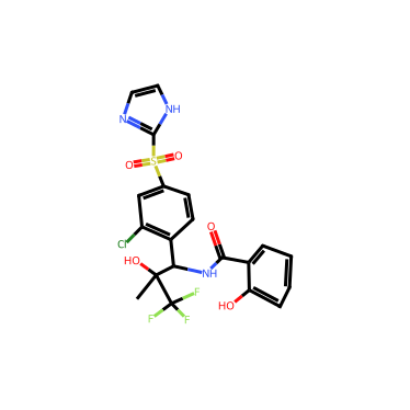 CC(O)(C(NC(=O)c1ccccc1O)c1ccc(S(=O)(=O)c2ncc[nH]2)cc1Cl)C(F)(F)F